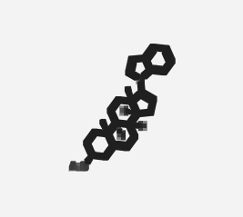 CC(=O)O[C@H]1CC[C@@]2(C)C(=CC[C@@H]3[C@@H]2CC[C@]2(C)C(n4ccc5ccccc54)=CC[C@@H]32)C1